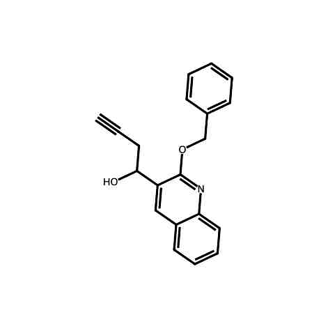 C#CCC(O)c1cc2ccccc2nc1OCc1ccccc1